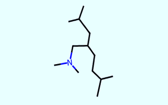 CC(C)CCC(CC(C)C)CN(C)C